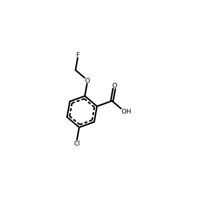 O=C(O)c1cc(Cl)ccc1OCF